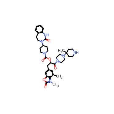 Cc1cc(CC(OC(=O)N2CCC(N3CCc4ccccc4NC3=O)CC2)C(=O)N2CCN(C3(C)CCNCC3)CC2)cc2oc(=O)n(C)c12